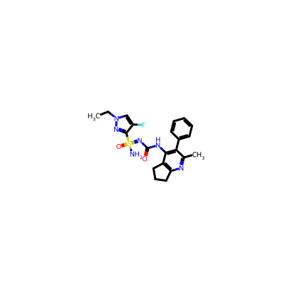 CCn1cc(F)c(S(N)(=O)=NC(=O)Nc2c3c(nc(C)c2-c2ccccc2)CCC3)n1